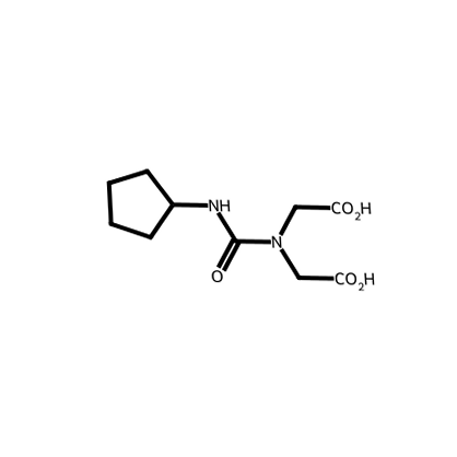 O=C(O)CN(CC(=O)O)C(=O)NC1CCCC1